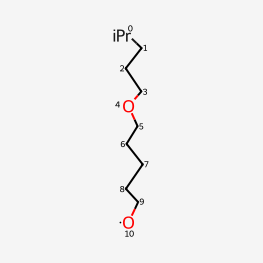 CC(C)CCCOCCCCC[O]